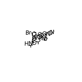 CC(C)C[C@@H](NC(=O)c1ccc(Br)cc1OCC(=O)NC(C)(C)C)C(=O)N1CCC[C@@H]1C(=O)N1CCN(C)CC1